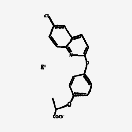 CC(Oc1ccc(Oc2ccc3cc(Cl)ccc3n2)cc1)C(=O)[O-].[K+]